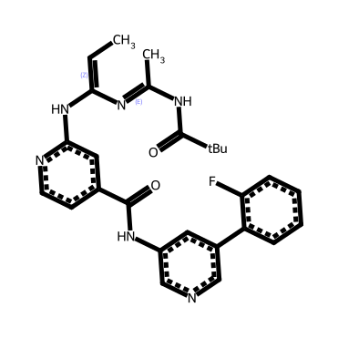 C/C=C(\N=C(/C)NC(=O)C(C)(C)C)Nc1cc(C(=O)Nc2cncc(-c3ccccc3F)c2)ccn1